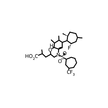 CC1CC[C@H](C)C(C2C=C3[C@@H](OC(CC(C)C(=O)O)CN3S(=O)(=O)C3CCCCC(C(F)(F)F)C3)C(C)C2C)[C@@H](F)C1